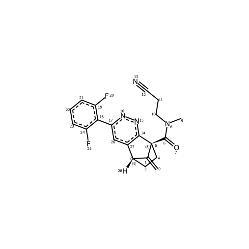 C=C1[C@@H]2CC[C@@]1(C(=O)N(C)CCC#N)c1nnc(-c3c(F)cccc3F)cc12